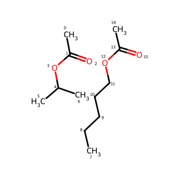 CC(=O)OC(C)C.CCCCCOC(C)=O